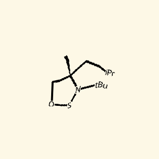 CC(C)C[C@@]1(C)COSN1C(C)(C)C